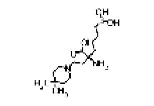 CC1(C)CCN(CCC(N)(CCCCB(O)O)C(=O)O)CC1